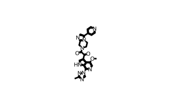 COc1cnc(-n2cnc(C)n2)c2[nH]cc(C(=O)C(=O)N3CCn4c(-c5ccncc5)cnc4C3)c12